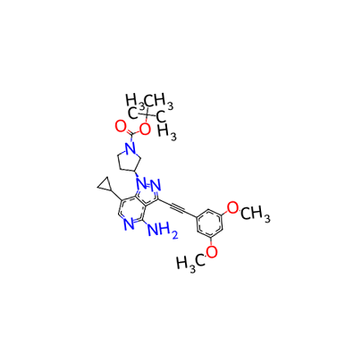 COc1cc(C#Cc2nn([C@H]3CCN(C(=O)OC(C)(C)C)C3)c3c(C4CC4)cnc(N)c23)cc(OC)c1